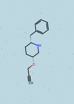 C#CCO[C@@H]1CC[C@H](Cc2ccccc2)NC1